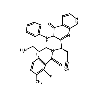 C#CC[C@H](C1=Nc2cnccc2C(=O)C1Nc1ccccc1)N(CCCN)C(=O)c1c(F)ccc(C)c1F